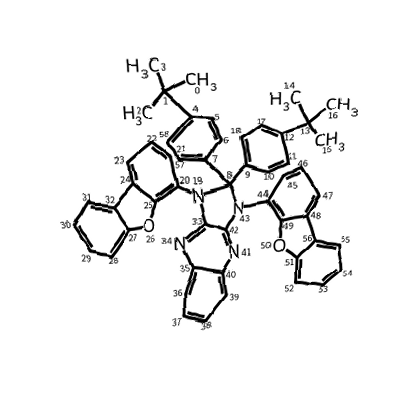 CC(C)(C)c1ccc(C2(c3ccc(C(C)(C)C)cc3)N(c3cccc4c3oc3ccccc34)c3nc4ccccc4nc3N2c2cccc3c2oc2ccccc23)cc1